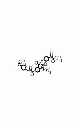 COc1ccc(CNC(=O)c2ccc3c(c2)c(=O)n(Cc2ccc(NC(C)=O)cc2)c(=O)n3C)cc1